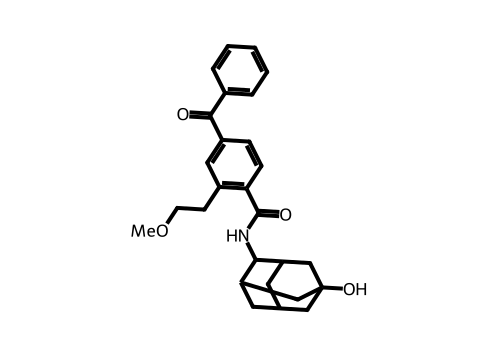 COCCc1cc(C(=O)c2ccccc2)ccc1C(=O)NC1C2CC3CC1CC(O)(C3)C2